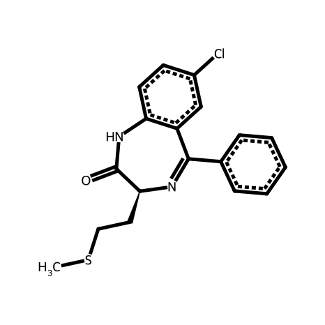 CSCC[C@@H]1N=C(c2ccccc2)c2cc(Cl)ccc2NC1=O